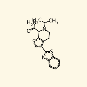 CC(C)N1CCc2c(-c3nc4ccccc4s3)[c]sc2C1C(N)=O